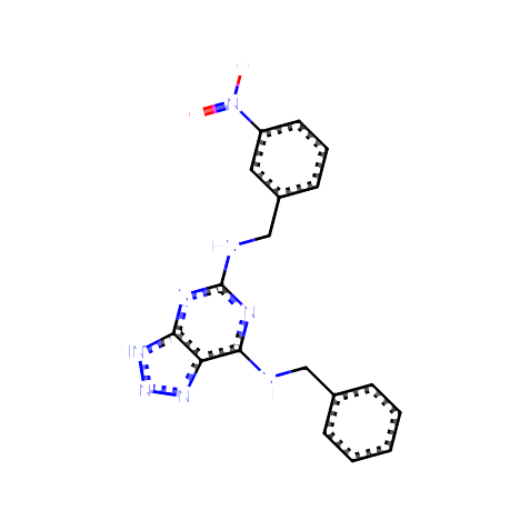 O=[N+]([O-])c1cccc(CNc2nc(NCc3ccccc3)c3nn[nH]c3n2)c1